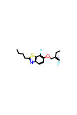 CCCCc1nc2ccc(OC/C(=C\F)CC)c(F)c2s1